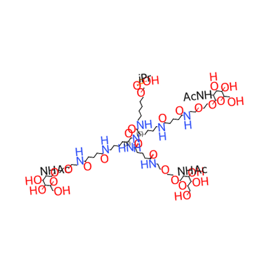 CC(=O)NC1C(OCCOCCNC(=O)CCCC(=O)NCCCC[C@H](NC(=O)CCCC(=O)NCCOCCOC2OC(CO)C(O)C(O)C2NC(C)=O)C(=O)N[C@@H](CCCCNC(=O)CCCC(=O)NCCOCCOC2OC(CO)C(O)C(O)C2NC(C)=O)C(=O)NCCCCCCOCP(=O)(O)C(C)C)OC(CO)C(O)C1O